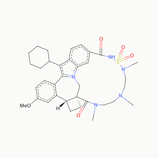 COc1ccc2c(c1)[C@H]1CC[C@@]13Cn1c-2c(C2CCCCC2)c2ccc(cc21)C(=O)NS(=O)(=O)N(C)CCN(C)CCN(C)C3=O